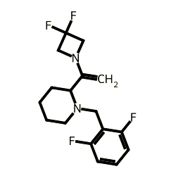 C=C(C1CCCCN1Cc1c(F)cccc1F)N1CC(F)(F)C1